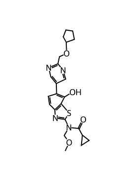 COCN(C(=O)C1CC1)c1nc2ccc(-c3cnc(COC4CCCC4)nc3)c(O)c2s1